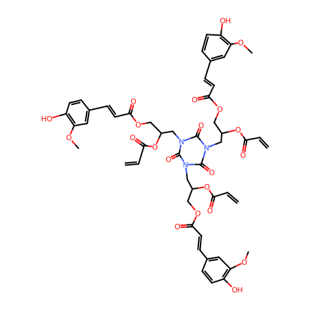 C=CC(=O)OC(COC(=O)/C=C/c1ccc(O)c(OC)c1)Cn1c(=O)n(CC(COC(=O)/C=C/c2ccc(O)c(OC)c2)OC(=O)C=C)c(=O)n(CC(COC(=O)/C=C/c2ccc(O)c(OC)c2)OC(=O)C=C)c1=O